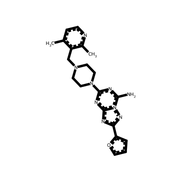 Cc1ccnc(C)c1CN1CCN(c2nc(N)n3nc(-c4ccco4)nc3n2)CC1